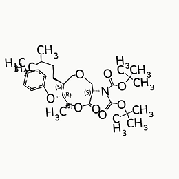 Cc1ccc(O[C@@H]2[C@@H](CCC(C)C)COC[C@H](N(C(=O)OC(C)(C)C)C(=O)OC(C)(C)C)C(=O)O[C@H]2C)cc1